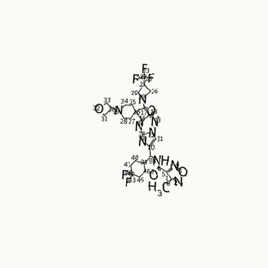 Cc1nonc1C(=O)N[C@H](c1cn2ncc(C3(C(=O)N4CC(C(F)(F)F)C4)CCN(C4COC4)CC3)nc2n1)C1CCC(F)(F)CC1